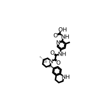 Cc1cc(NC(=O)C(=O)N2C[C@@H](C)CC[C@@H]2c2ccc3c(c2)CCCN3)cnc1NC(=O)O